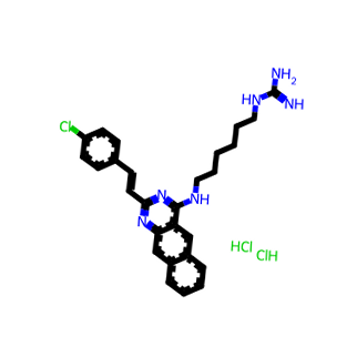 Cl.Cl.N=C(N)NCCCCCCNc1nc(C=Cc2ccc(Cl)cc2)nc2cc3ccccc3cc12